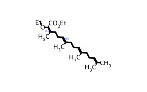 CCOC(=O)/C(OCC)=C(/C)CC/C=C(\C)CC/C=C(\C)CCC=C(C)C